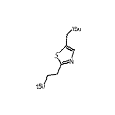 CC(C)(C)CCc1ncc(CC(C)(C)C)s1